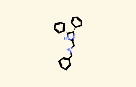 C1=CCC([C@@H]2N=C(CNCc3ccccc3)N[C@@H]2c2ccccc2)C=C1